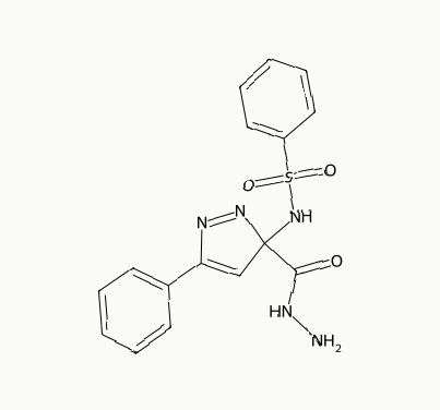 NNC(=O)C1(NS(=O)(=O)c2ccccc2)C=C(c2ccccc2)N=N1